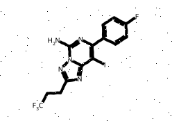 Nc1nc(-c2ccc(F)cc2)c(I)c2nc(CCC(F)(F)F)nn12